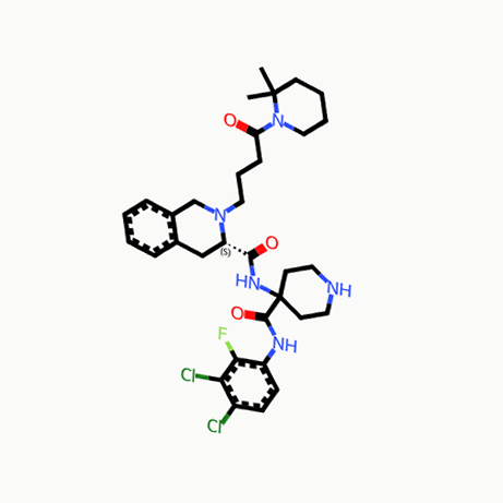 CC1(C)CCCCN1C(=O)CCCN1Cc2ccccc2C[C@H]1C(=O)NC1(C(=O)Nc2ccc(Cl)c(Cl)c2F)CCNCC1